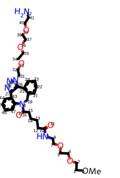 COCCOCCOCCNC(=O)CCCCC(=O)N1Cc2ccccc2-c2c(nnn2CCOCCOCCOCCN)-c2ccccc21